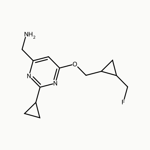 NCc1cc(OCC2CC2CF)nc(C2CC2)n1